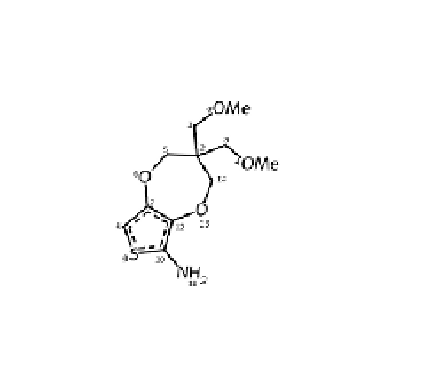 COCC1(COC)COc2csc(N)c2OC1